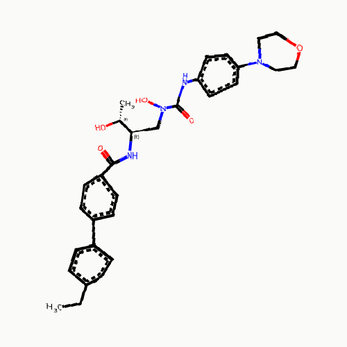 CCc1ccc(-c2ccc(C(=O)N[C@H](CN(O)C(=O)Nc3ccc(N4CCOCC4)cc3)[C@@H](C)O)cc2)cc1